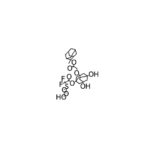 CC1(OC(=O)COC23CC4(O)CC(O)(C2)CC(OC(=O)C(F)(F)SOOO)(C4)C3)C2CC3CC(C2)CC1C3